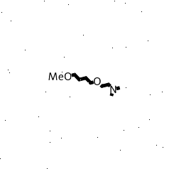 COCCCCOCCN(C)C